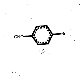 O=Cc1ccc(Br)cc1.S